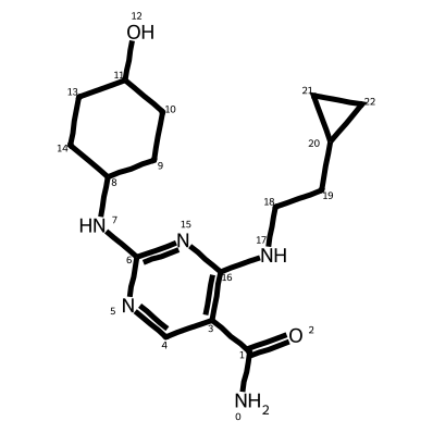 NC(=O)c1cnc(NC2CCC(O)CC2)nc1NCCC1CC1